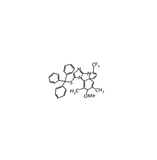 COC1C(C)=CC23C=CC=C(C(F)(F)F)N2c2ncc(SC(c4ccccc4)(c4ccccc4)c4ccccc4)n2C3=C1C